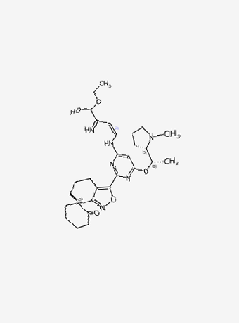 CCOC(O)C(=N)/C=C\Nc1cc(O[C@@H](C)[C@@H]2CCCN2C)nc(-c2onc3c2CCC[C@@]32CCCCC2=O)n1